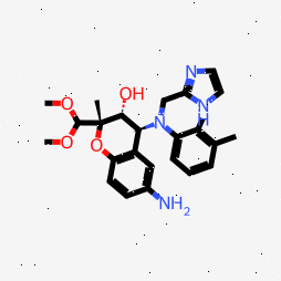 COC(OC)[C@@]1(C)Oc2ccc(N)cc2[C@H](N(Cc2ncc[nH]2)c2cccc(C)c2C)[C@H]1O